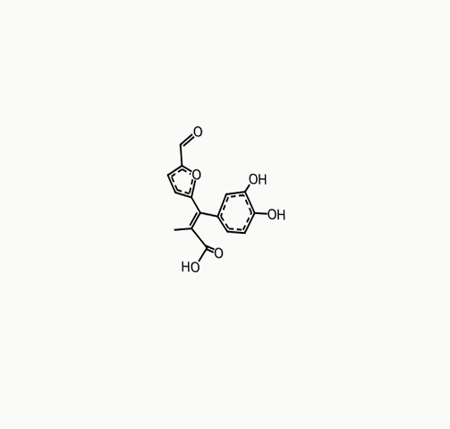 C/C(C(=O)O)=C(/c1ccc(O)c(O)c1)c1ccc(C=O)o1